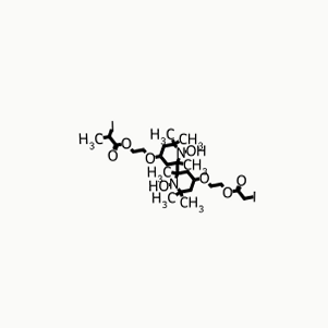 CC(I)C(=O)OCCOC1CC(C)(C)N(O)C(C)(C2(C)CC(OCCOC(=O)CI)CC(C)(C)N2O)C1